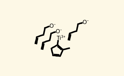 C=CCC[O-].C=CCC[O-].C=CCC[O-].CC1=[C]([Ti+3])CC=C1